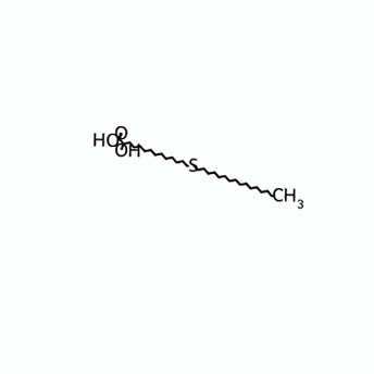 CCCCCCCCCCCCCCCCSCCCCCCCCCCCCC(O)C(=O)O